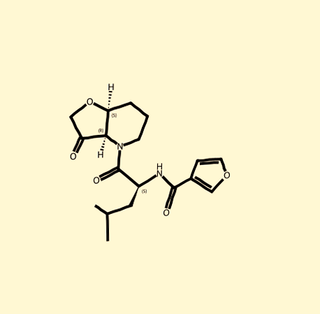 CC(C)C[C@H](NC(=O)c1ccoc1)C(=O)N1CCC[C@@H]2OCC(=O)[C@@H]21